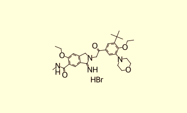 Br.CCOc1cc2c(cc1C(=O)NC)C(=N)N(CC(=O)c1cc(N3CCOCC3)c(OCC)c(C(C)(C)C)c1)C2